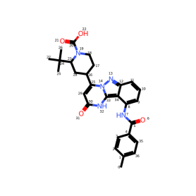 Cc1ccc(C(=O)Nc2cccc3nn4c(C5CCN(C(=O)O)C(C(C)(C)C)C5)cc(=O)[nH]c4c23)cc1